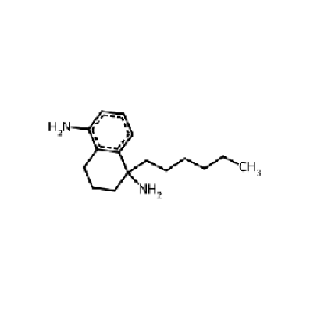 CCCCCCC1(N)CCCc2c(N)cccc21